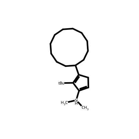 C[SiH](C)C1=CCC([C]2CCCCCCCCCCC2)=C1C(C)(C)C